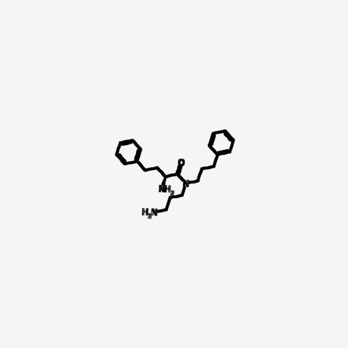 NCCCN(CCCc1ccccc1)C(=O)[C@@H](N)CCc1ccccc1